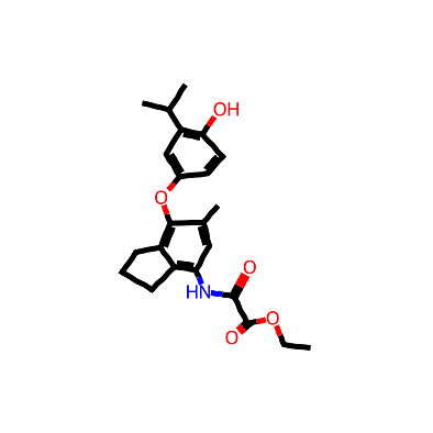 CCOC(=O)C(=O)Nc1cc(C)c(Oc2ccc(O)c(C(C)C)c2)c2c1CCC2